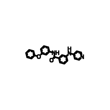 O=C(Nc1cccc(Oc2ccccc2)c1)c1cccc(Nc2ccncc2)c1